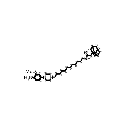 COc1cc(N2CCN(CCCCCCCCCCCCNC(=O)CC34CC5CC(CC(C5)C3)C4)CC2)ccc1N